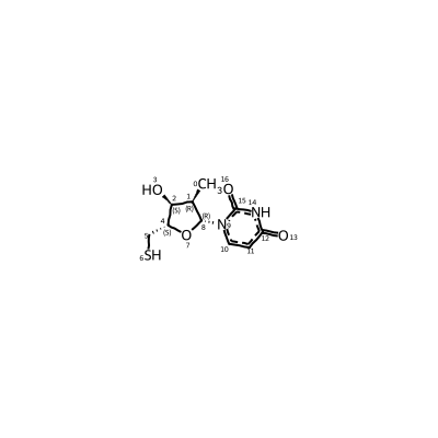 C[C@@H]1[C@H](O)[C@@H](CS)O[C@H]1n1ccc(=O)[nH]c1=O